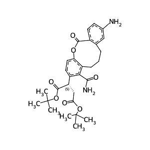 CC(C)(C)OC(=O)C[C@H](C(=O)OC(C)(C)C)c1ccc2c(c1C(N)=O)CCCc1cc(N)ccc1C(=O)O2